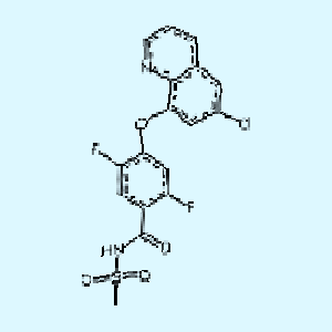 CS(=O)(=O)NC(=O)c1cc(F)c(Oc2cc(Cl)cc3cccnc23)cc1F